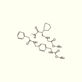 CC(C)(C)OC(=O)CNC[C@@H](C(=O)NC[C@H](C(=O)NCc1ccc(CNC(=O)OC(C)(C)C)cc1)c1ccccc1)C1CCCCC1